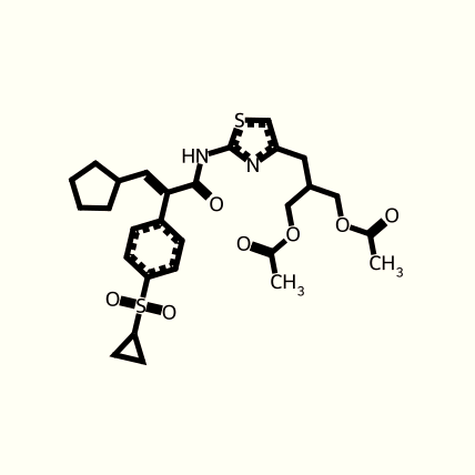 CC(=O)OCC(COC(C)=O)Cc1csc(NC(=O)/C(=C/C2CCCC2)c2ccc(S(=O)(=O)C3CC3)cc2)n1